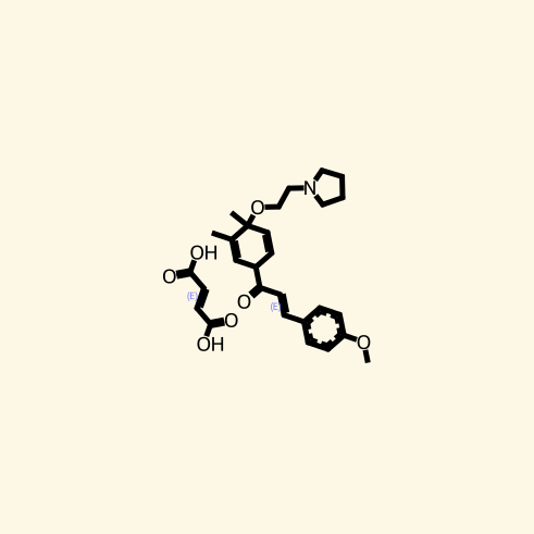 COc1ccc(/C=C/C(=O)C2C=CC(C)(OCCN3CCCC3)C(C)=C2)cc1.O=C(O)/C=C/C(=O)O